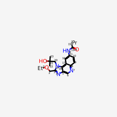 CCOCc1nc2cnc3ccc(NC(=O)C(C)C)cc3c2n1CC(C)(C)O